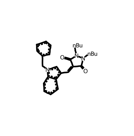 CCCCN1C(=O)C(=Cc2cn(Cc3ccccc3)c3ccccc23)C(=O)N1CCCC